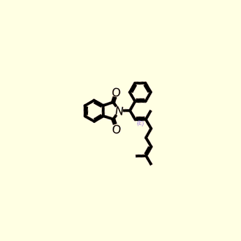 CC(C)=CCC/C(C)=C/C(c1ccccc1)N1C(=O)c2ccccc2C1=O